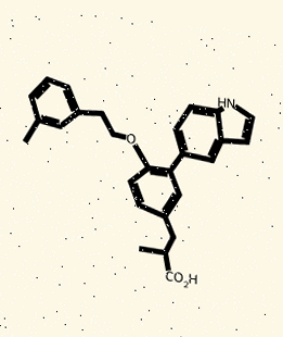 Cc1cccc(CCOc2ccc(CC(C)C(=O)O)cc2-c2ccc3[nH]ccc3c2)c1